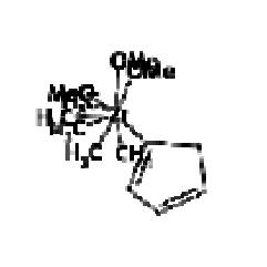 C[O][Zr]([CH3])([CH3])([CH3])([CH3])([CH3])([O]C)([O]C)[C]1=CC=CC1